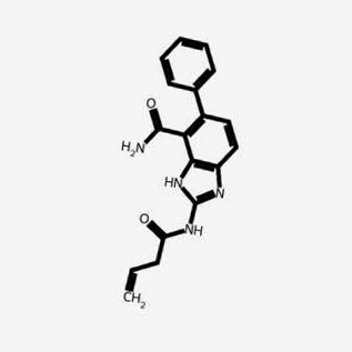 C=CCC(=O)Nc1nc2ccc(-c3ccccc3)c(C(N)=O)c2[nH]1